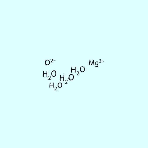 O.O.O.O.[Mg+2].[O-2]